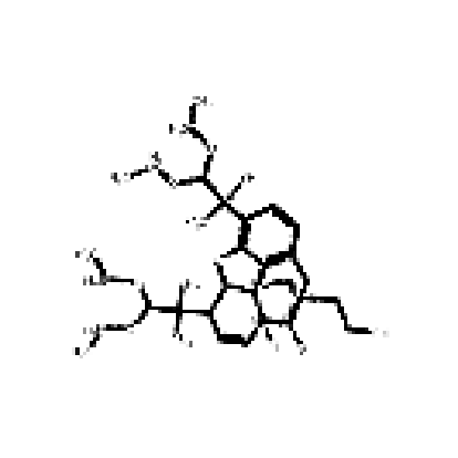 C[SiH2]OC(O[SiH2]C)C(C)(C)c1ccc2c3c1OC1C(C(C)(C)C(O[SiH2]C)O[SiH2]C)C=C[C@H]4[C@@H](C2)N(CCC#N)CC[C@]314